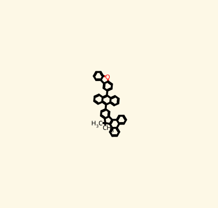 CC1(C)c2ccc(-c3c4ccccc4c(-c4ccc5oc6ccccc6c5c4)c4ccccc34)cc2-c2c1c1ccccc1c1ccccc21